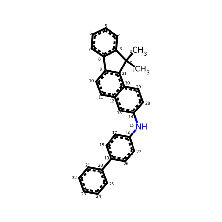 CC1(C)c2ccccc2-c2ccc3cc(Nc4ccc(-c5ccccc5)cc4)ccc3c21